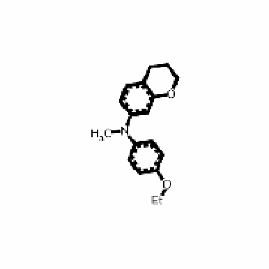 CCOc1ccc(N(C)c2ccc3c(c2)OCCC3)cc1